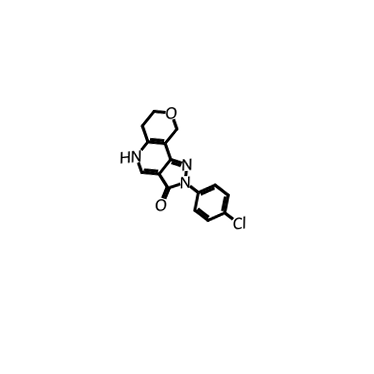 O=c1c2c[nH]c3c(c-2nn1-c1ccc(Cl)cc1)COCC3